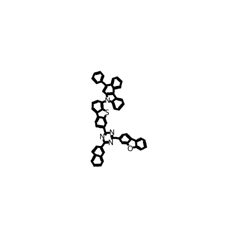 c1ccc(-c2cc3c(c4ccccc24)c2ccccc2n3-c2cccc3c2sc2cc(-c4nc(-c5ccc6ccccc6c5)nc(-c5ccc6c(c5)oc5ccccc56)n4)ccc23)cc1